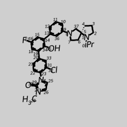 CC(C)N1CCC[C@@]12CCN(c1cccc(-c3cc(F)cc(-c4ccc(-n5ccn(C)c5=O)c(Cl)c4)c3O)c1)C2